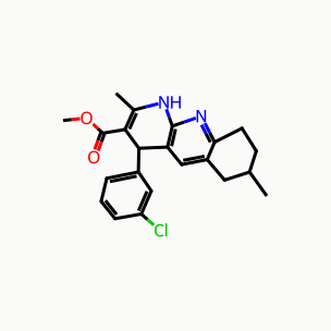 COC(=O)C1=C(C)Nc2nc3c(cc2C1c1cccc(Cl)c1)CC(C)CC3